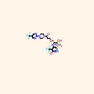 C[C@@H](O)[C@@H](COCCC(=O)N1CCN(c2ncc(C(F)(F)F)cn2)CC1)Nc1cn[nH]c(=O)c1C(F)(F)F